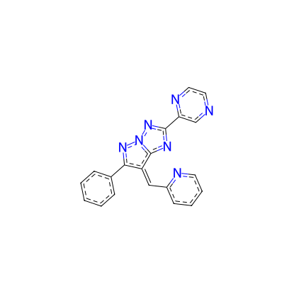 C(/c1ccccn1)=c1\c(-c2ccccc2)nn2nc(-c3cnccn3)nc12